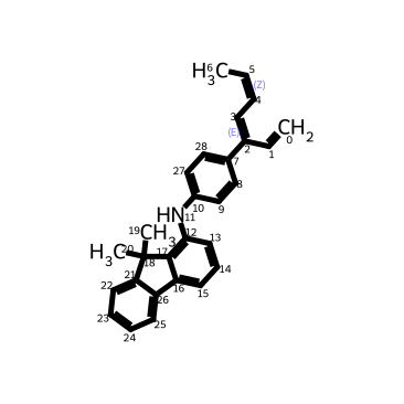 C=C/C(=C\C=C/C)c1ccc(Nc2cccc3c2C(C)(C)c2ccccc2-3)cc1